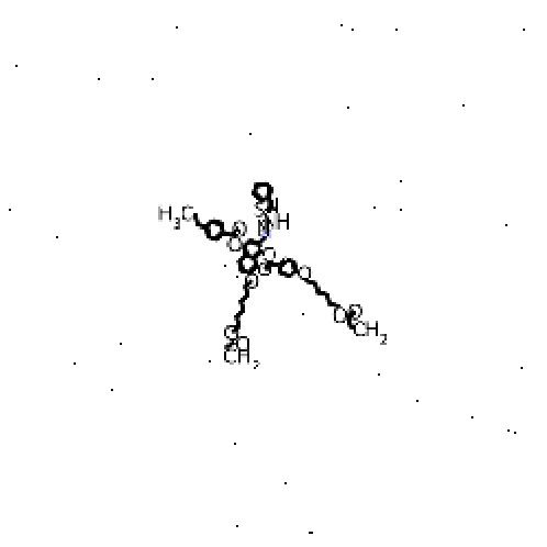 C=CC(=O)OCCCCCCOc1ccc(C(=O)Oc2c(/C=N/Nc3nc4ccccc4s3)cc(OC(=O)c3ccc(CCC)cc3)c3ccc(OCCCCCCOC(=O)C=C)cc23)cc1